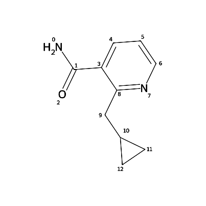 NC(=O)c1cccnc1CC1CC1